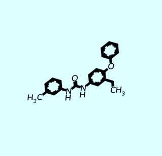 CCc1cc(NC(=O)Nc2cccc(C)c2)ccc1Oc1ccccc1